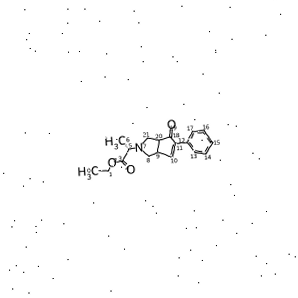 CCOC(=O)[C@H](C)N1CC2C=C(c3ccccc3)C(=O)C2C1